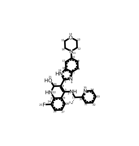 C[C@H](NC1=C(c2nc3ccc(N4CCOCC4)cc3[nH]2)C(O)Nc2c(F)cccc21)c1ccccn1